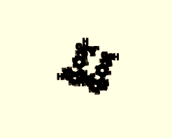 O=S(=O)(C[C@H]1CC[C@H](c2nnn3cnc4[nH]ccc4c23)CC1)NC1CC1.O=S(=O)(O)C[C@H]1CC[C@H](c2nnn3cnc4[nH]ccc4c23)CC1